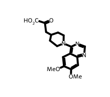 COc1cc2ncnc(N3CCC(CC(=O)C(=O)O)CC3)c2cc1OC